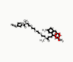 CN(CCOCCOCCOCCN(C)C(=O)[C@@H]1CC(N=[N+]=[N-])CN1)C(=O)CCC12c3cc(N)ccc3C(c3ccc(N)cc31)c1ccc(N)cc12